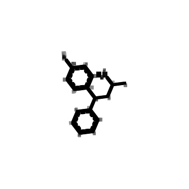 CC(N)[CH]C(c1ccccc1)c1ccc(F)cc1